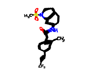 Cc1cc(C=CC(F)(F)F)ccc1C(=O)Nc1ccc2c(c1)N(S(C)(=O)=O)CC2